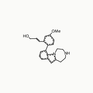 COc1ccc(-c2cccc3cc4n(c23)CCNCC4)c(/C=C/CO)c1